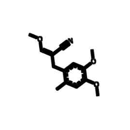 CO/C=C(\C#N)Cc1cc(OC)c(OC)cc1C